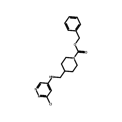 O=C(OCc1ccccc1)N1CCC(CNc2cnnc(Cl)c2)CC1